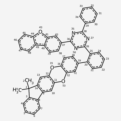 CC1(C)c2ccccc2-c2cc3c(cc21)Oc1ccc(-c2ccccc2-c2nc(-c4ccccc4)nc(-c4ccc5c(c4)oc4ccccc45)n2)cc1O3